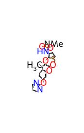 CNS(=O)(=O)Nc1ccsc1Oc1c(C)c2ccc(Oc3ncccn3)cc2oc1=O